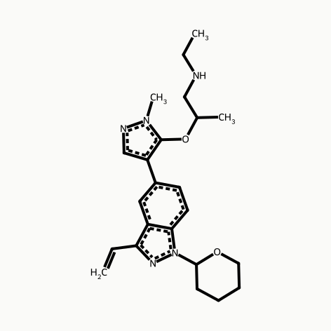 C=Cc1nn(C2CCCCO2)c2ccc(-c3cnn(C)c3OC(C)CNCC)cc12